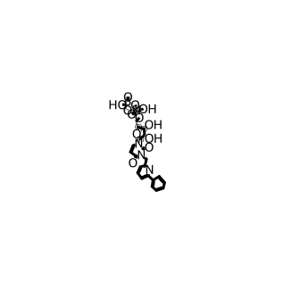 O=c1ccn([C@@H]2O[C@H](COP(=O)(O)OP(=O)(O)O)[C@H](O)C2O)c(=O)n1Cc1cccc(-c2ccccc2)n1